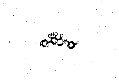 O=c1c(-c2ccncn2)cn2ccn(Cc3cccc(F)c3)c(=O)c2c1O